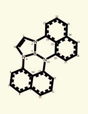 C1=CN2B3N1c1cccc4cccc(c14)N3c1cccc3cccc2c13